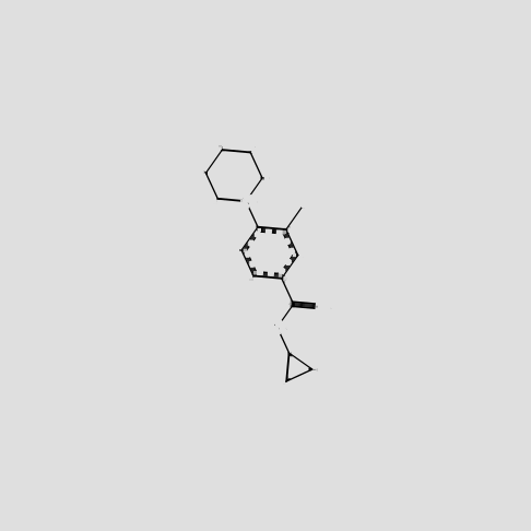 Cc1cc(C(=O)NC2CC2)ccc1N1CCCCC1